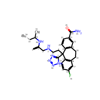 C=C(CNCCC1(c2nnn[nH]2)c2ccc(F)cc2CCc2cc(C(N)=O)ccc21)NC(C#N)C[C@@H](C)CC